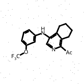 CC(=O)c1ncc(Nc2cccc(OC(F)(F)F)c2)c2c1CCCC2